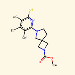 CCc1c(C#N)c(S)nc(N2CCC3(CN(C(=O)OC(C)(C)C)C3)C2)c1C#N